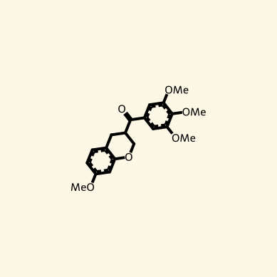 COc1ccc2c(c1)OCC(C(=O)c1cc(OC)c(OC)c(OC)c1)C2